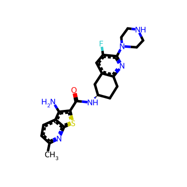 Cc1ccc2c(N)c(C(=O)N[C@H]3CCc4nc(N5CCNCC5)c(F)cc4C3)sc2n1